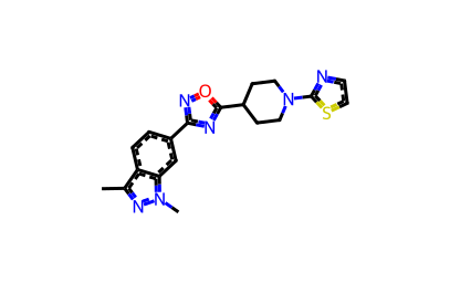 Cc1nn(C)c2cc(-c3noc(C4CCN(c5nccs5)CC4)n3)ccc12